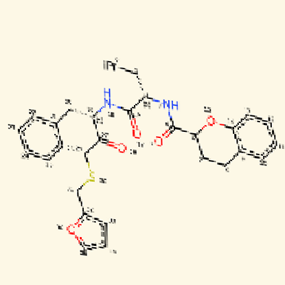 CC(C)C[C@H](NC(=O)C1CCc2ccccc2O1)C(=O)N[C@@H](Cc1ccccc1)C(=O)CSCc1ccco1